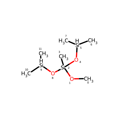 CO[Si](C)(O[SiH](C)C)O[SiH](C)C